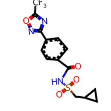 O=C(NS(=O)(=O)CC1CC1)c1ccc(-c2noc(C(F)(F)F)n2)cc1